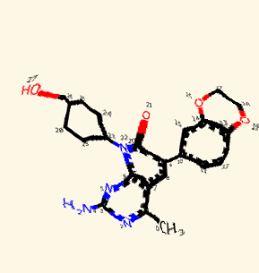 Cc1nc(N)nc2c1cc(-c1ccc3c(c1)OCCO3)c(=O)n2C1CCC(O)CC1